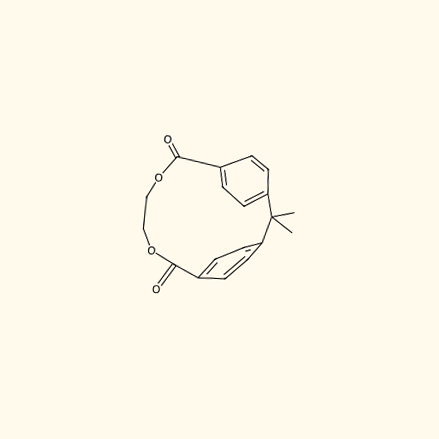 CC1(C)c2ccc(cc2)C(=O)OCCOC(=O)c2ccc1cc2